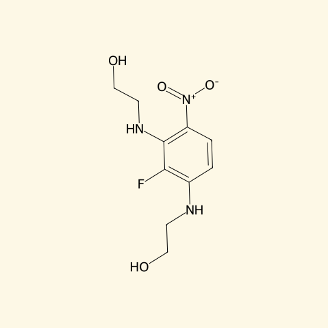 O=[N+]([O-])c1ccc(NCCO)c(F)c1NCCO